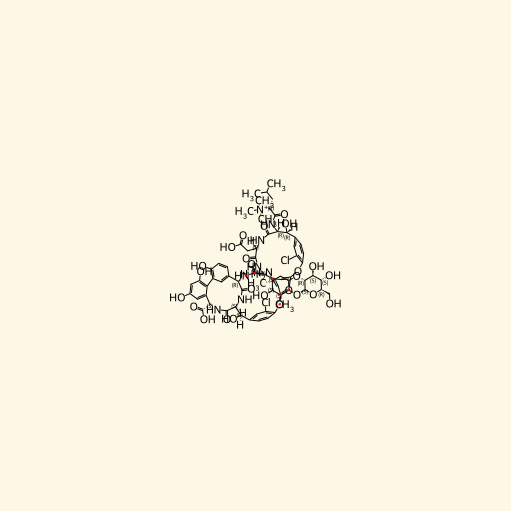 CC(C)C[C@H](C(=O)N[C@H]1C(=O)N[C@@H](CC(=O)O)C(=O)N[C@H]2C(=O)N[C@H]3C(=O)N[C@H](C(=O)N[C@H](C(=O)O)c4cc(O)cc(O)c4-c4cc3ccc4O)[C@H](O)c3ccc(c(Cl)c3)Oc3cc2cc(c3O[C@@H]2O[C@H](CO)[C@@H](O)[C@H](O)[C@H]2OC2C[C@](C)(N)[C@H](O)[C@H](C)O2)Oc2ccc(cc2Cl)[C@H]1O)[N+](C)(C)C